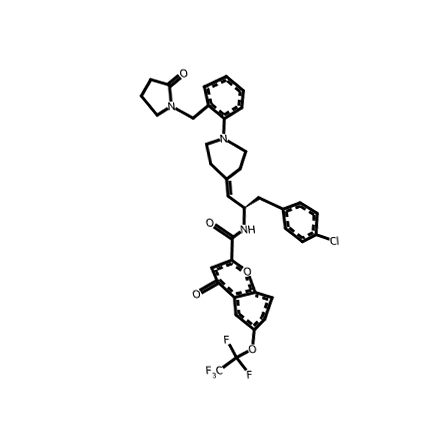 O=C(N[C@@H](C=C1CCN(c2ccccc2CN2CCCC2=O)CC1)Cc1ccc(Cl)cc1)c1cc(=O)c2cc(OC(F)(F)C(F)(F)F)ccc2o1